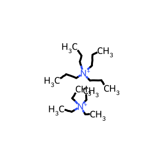 CCC[N+](CCC)(CCC)CCC.CC[N+](CC)(CC)CC